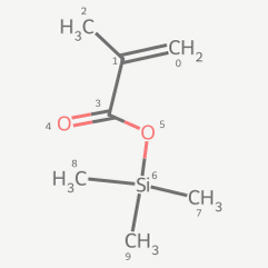 C=C(C)C(=O)O[Si](C)(C)C